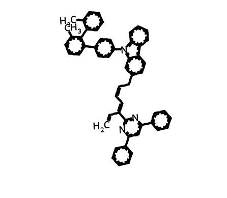 C=C/C(=C\C=C/Cc1ccc2c3ccccc3n(-c3ccc(-c4cccc(C)c4-c4ccccc4C)cc3)c2c1)c1nc(-c2ccccc2)cc(-c2ccccc2)n1